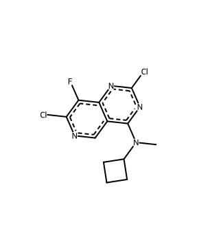 CN(c1nc(Cl)nc2c(F)c(Cl)ncc12)C1CCC1